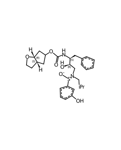 CC(C)CN(C[C@@H](O)[C@H](Cc1ccccc1)NC(=O)OC1C[C@@H]2CCO[C@@H]2C1)[S+]([O-])c1cccc(O)c1